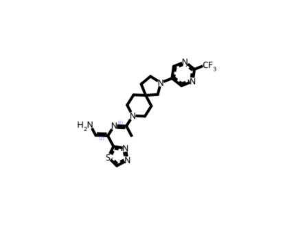 C/C(=N\C(=C/N)c1nncs1)N1CCC2(CC1)CCN(c1cnc(C(F)(F)F)nc1)C2